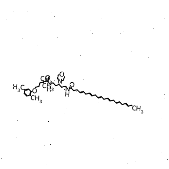 CCC=CCC=CCC=CCC=CCC=CCC=CCCC(=O)NCCC(CCNC(=O)C(C)(C)CCCOc1cc(C)ccc1C)N1CCOCC1